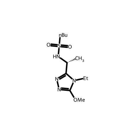 CCCCS(=O)(=O)N[C@H](C)c1nnc(OC)n1CC